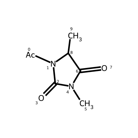 CC(=O)N1C(=O)N(C)C(=O)C1C